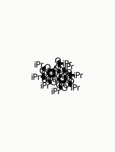 CC(C)C(=O)OC[C@H]1O[C@H](O[C@H]2[C@H](OC(=O)C(C)C)[C@@H](OC(=O)C(C)C)[C@H](OC(=O)C(C)C)O[C@@H]2COC(=O)C(C)C)[C@H](OC(=O)C(C)C)[C@@H](OC(=O)C(C)C)[C@@H]1OC(=O)C(C)C